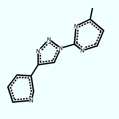 Cc1ccnc(-n2cc(-c3cccnc3)nn2)n1